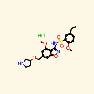 CCc1ccc(OC)c(S(=O)(=O)Nc2noc3cc(COC4CCNC4)cc(OC)c23)c1.Cl